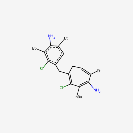 CCCCC1=C(N)C(CC)=CCC(Cc2cc(CC)c(N)c(CC)c2Cl)=C1Cl